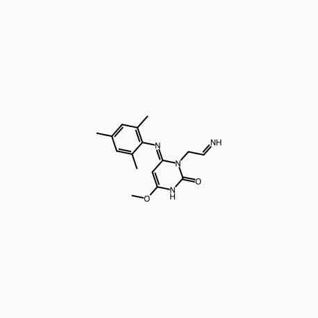 COc1c/c(=N\c2c(C)cc(C)cc2C)n(CC=N)c(=O)[nH]1